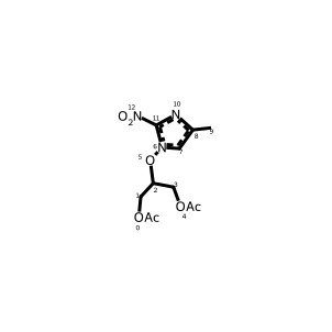 CC(=O)OCC(COC(C)=O)On1cc(C)nc1[N+](=O)[O-]